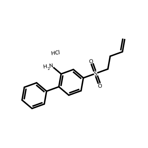 C=CCCS(=O)(=O)c1ccc(-c2ccccc2)c(N)c1.Cl